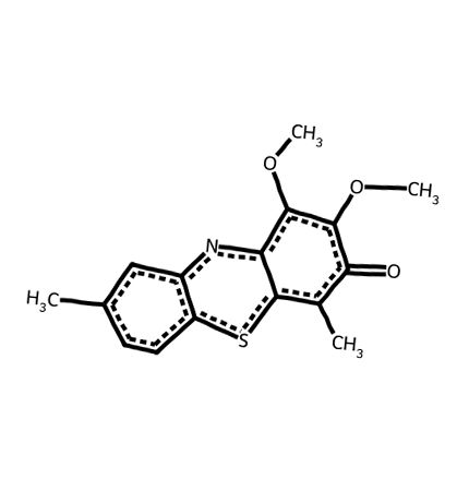 COc1c2nc3cc(C)ccc3sc-2c(C)c(=O)c1OC